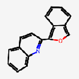 [c]1oc(-c2ccc3ccccc3n2)c2ccccc12